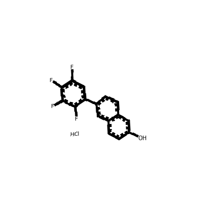 Cl.Oc1ccc2cc(-c3cc(F)c(F)c(F)c3F)ccc2c1